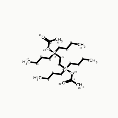 CCCC[Si](CCCC)(CC[Si](CCCC)(CCCC)OC(C)=O)OC(C)=O